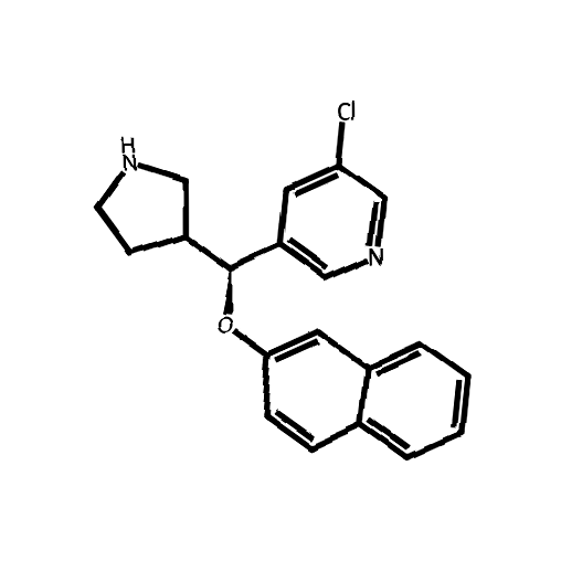 Clc1cncc([C@@H](Oc2ccc3ccccc3c2)C2CCNC2)c1